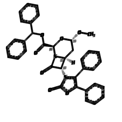 CO[C@@H]1C[C@H]2[C@H](n3c(-c4ccccc4)c(-c4ccccc4)oc3=O)C(=O)N2[C@@H](C(=O)OC(c2ccccc2)c2ccccc2)O1